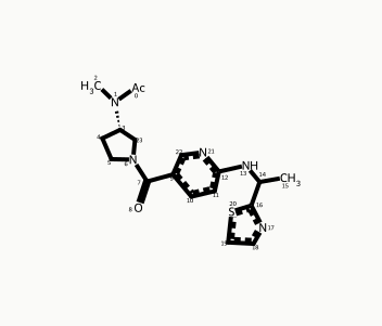 CC(=O)N(C)[C@H]1CCN(C(=O)c2ccc(NC(C)c3nccs3)nc2)C1